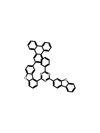 c1ccc(-c2nc(-c3ccc4c(c3)sc3ccccc34)nc(-c3cccc4oc5ccc(-c6ccc7c8ccccc8c8ccccc8c7c6)cc5c34)n2)cc1